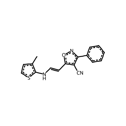 Cc1ccsc1NC=Cc1onc(-c2ccccc2)c1C#N